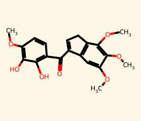 COc1ccc(C(=O)C2=CCc3c2cc(OC)c(OC)c3OC)c(O)c1O